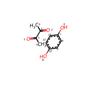 CC(=O)C(C)=O.Oc1ccc(O)cc1